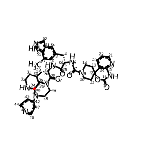 Cc1cc(C[C@H](NC(=O)N2CCC3(CC2)OC(=O)Nc2ncccc23)C(=O)N[C@@H](CC2CCNCC2)C(=O)N2CCN(c3ccncc3)CC2)cc2cn[nH]c12